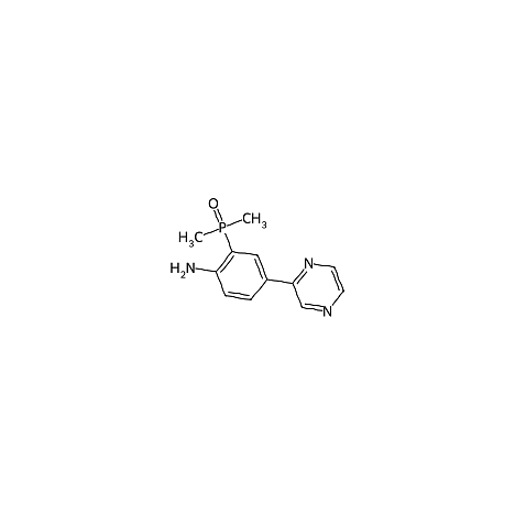 CP(C)(=O)c1cc(-c2cnccn2)ccc1N